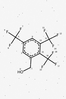 OCc1cc(C(F)(F)F)cc(C(F)(F)F)c1C(F)(F)F